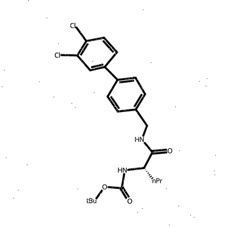 CCC[C@H](NC(=O)OC(C)(C)C)C(=O)NCc1ccc(-c2ccc(Cl)c(Cl)c2)cc1